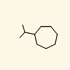 NC(N)C1CCCCCC1